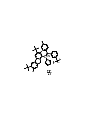 Cc1ccc([C](c2cccc(C(F)(F)F)c2)=[Zr+2]([c]2c(C)c(C(C)(C)C)cc3c2Cc2cc(C)c(C(C)(C)C)cc2-3)[CH]2C=CC=C2)cc1.[Cl-].[Cl-]